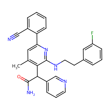 Cc1cc(-c2ccccc2C#N)nc(NCCc2cccc(F)c2)c1C(C(N)=O)c1cccnc1